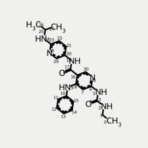 CCNC(=O)Nc1cc(Nc2ccccc2)c(C(=O)Nc2ccc(NC(C)C)nc2)cn1